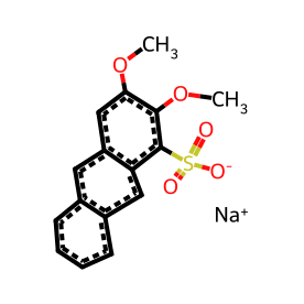 COc1cc2cc3ccccc3cc2c(S(=O)(=O)[O-])c1OC.[Na+]